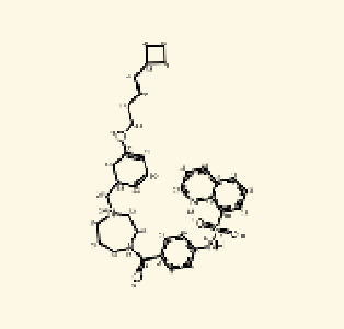 O=C(c1ccc(NS(=O)(=O)c2cccc3cccnc23)cc1)N1CCCN(CC2C=CC=C(OCCCCC3CCC3)C2)CC1